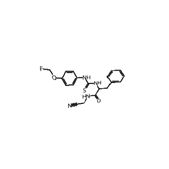 N#CCNC(=O)C(Cc1ccccc1)NC(=S)Nc1ccc(OCF)cc1